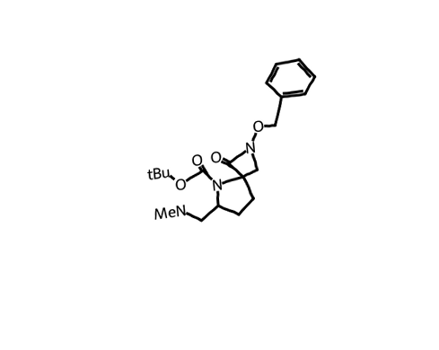 CNCC1CCC2(CN(OCc3ccccc3)C2=O)N1C(=O)OC(C)(C)C